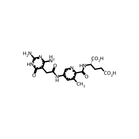 Cc1cc(NC(=O)Cc2c(N)nc(N)[nH]c2=O)cnc1C(=O)N[C@@H](CCC(=O)O)C(=O)O